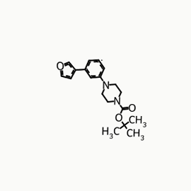 CC(C)(C)OC(=O)N1CCN(c2c[c]cc(-c3ccoc3)c2)CC1